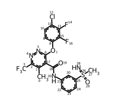 Cc1c(C(F)(F)F)nnc(Oc2ccc(Cl)c(F)c2F)c1C(=O)Nc1cccc(S(C)(=N)=O)c1